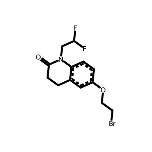 O=C1CCc2cc(OCCBr)ccc2N1CC(F)F